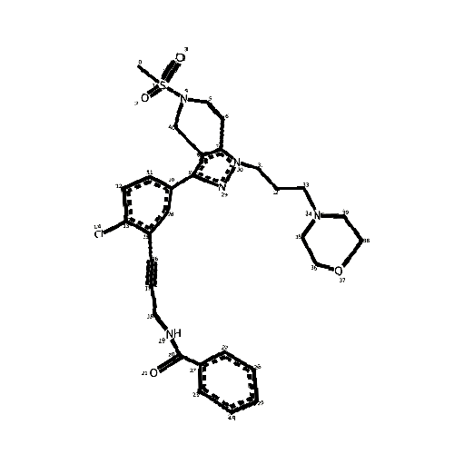 CS(=O)(=O)N1CCc2c(c(-c3ccc(Cl)c(C#CCNC(=O)c4ccccc4)c3)nn2CCCN2CCOCC2)C1